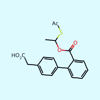 CC(=O)SC(C)OC(=O)c1ccccc1-c1ccc(CC(=O)O)cc1